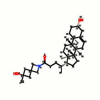 CCC1(O)CC2(CN(C(=O)CCC(C)[C@H]3CC[C@H]4[C@@H]5CC=C6C[C@@H](O)CC[C@]6(C)[C@H]5CC[C@]34C)C2)C1